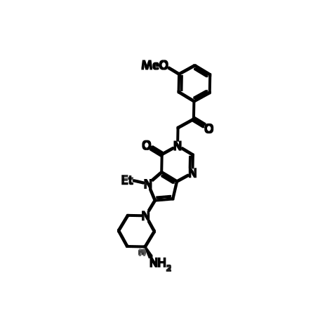 CCn1c(N2CCC[C@H](N)C2)cc2ncn(CC(=O)c3cccc(OC)c3)c(=O)c21